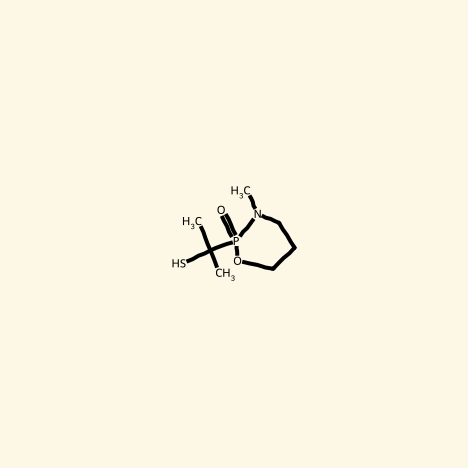 CN1CCCOP1(=O)C(C)(C)S